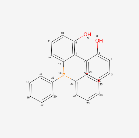 Oc1ccccc1-c1c(O)cccc1P(c1ccccc1)c1ccccc1